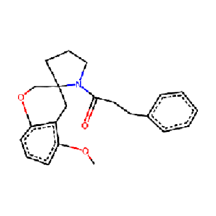 COc1cccc2c1CC1(CCCN1C(=O)CCc1ccccc1)CO2